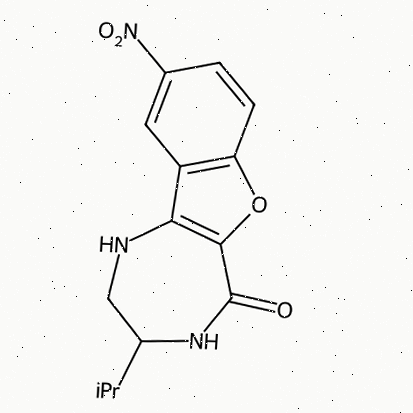 CC(C)C1CNc2c(oc3ccc([N+](=O)[O-])cc23)C(=O)N1